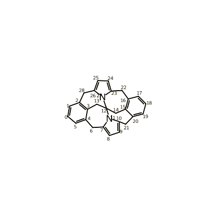 c1cc2c3c(c1)Cc1ccc4n1C1(C3)Cc3c(cccc3C4)Cc3ccc(n31)C2